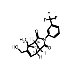 CC12O[C@@H](C=C1CO)[C@H]1C(=O)N(c3cccc(C(F)(F)F)c3)C(=O)[C@H]12